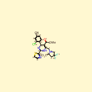 COC(=O)C1=C(CN2CC(F)(F)CC2C(=O)O)NC(c2nccs2)=NC1c1ccc(C#N)cc1Cl